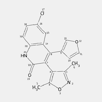 Cc1noc(C)c1-c1c(-c2ccoc2)c2cc(Cl)ccc2[nH]c1=O